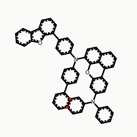 c1ccc(-c2ccc(N(c3ccc(-c4cccc5c4oc4ccccc45)cc3)c3ccc4cccc5c4c3Oc3cc(N(c4ccccc4)c4ccccc4)ccc3-5)cc2)cc1